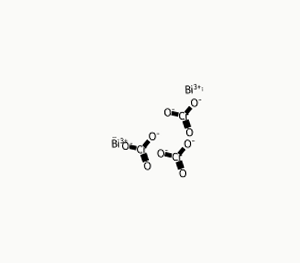 [Bi+3].[Bi+3].[O]=[Cr]([O-])[O-].[O]=[Cr]([O-])[O-].[O]=[Cr]([O-])[O-]